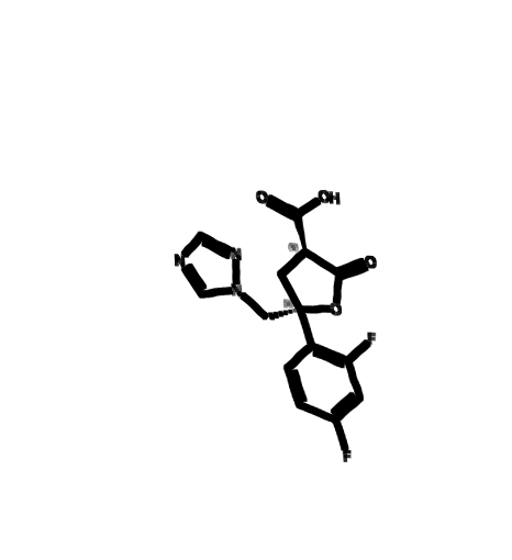 O=C(O)[C@@H]1C[C@](Cn2cncn2)(c2ccc(F)cc2F)OC1=O